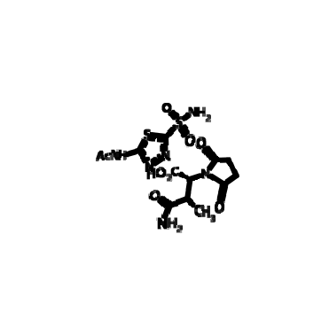 CC(=O)Nc1nnc(S(N)(=O)=O)s1.CC(C(N)=O)[C@@H](C(=O)O)N1C(=O)CCC1=O